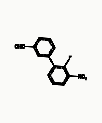 O=Cc1cccc(-c2cccc([N+](=O)[O-])c2F)c1